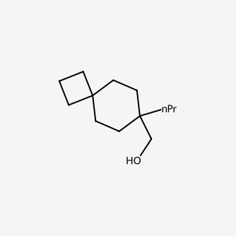 CCCC1(CO)CCC2(CCC2)CC1